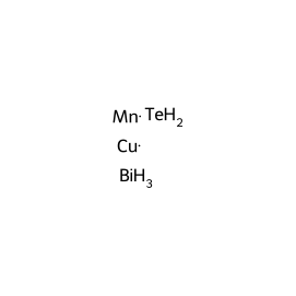 [BiH3].[Cu].[Mn].[TeH2]